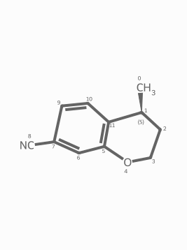 C[C@H]1CCOc2cc(C#N)ccc21